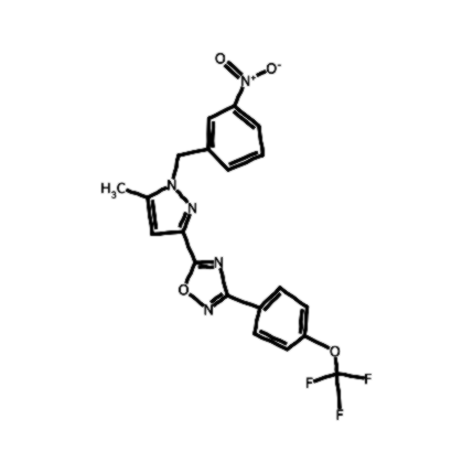 Cc1cc(-c2nc(-c3ccc(OC(F)(F)F)cc3)no2)nn1Cc1cccc([N+](=O)[O-])c1